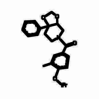 Cc1cc(C(=O)N2CCC3(c4ccccc4)OCOC3C2)ccc1OC(C)C